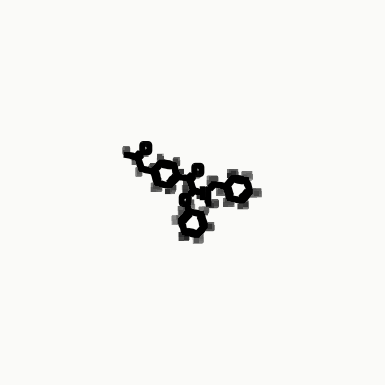 CC(=O)Cc1ccc(C(=O)C(Oc2cc[c]cc2)N(C)Cc2ccccc2)cc1